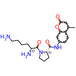 Cc1cc(=O)oc2cc(NC(=O)[C@@H]3CCCN3C(=O)[C@@H](N)CCCCN)ccc12